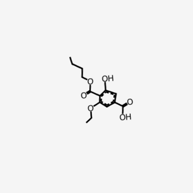 CCCCOC(=O)c1c(O)cc(C(=O)O)cc1OCC